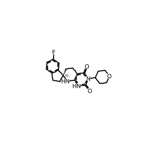 O=c1[nH]c2c(c(=O)n1C1CCOCC1)CC[C@]1(CCc3ccc(F)cc31)N2